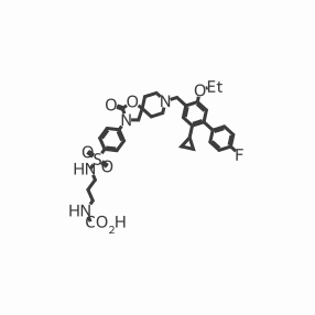 CCOc1cc(-c2ccc(F)cc2)c(C2CC2)cc1CN1CCC2(CC1)CN(c1ccc(S(=O)(=O)NCCCNC(=O)O)cc1)C(=O)O2